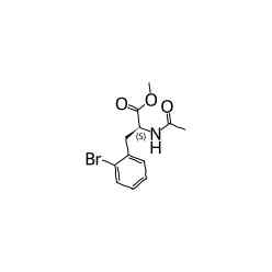 COC(=O)[C@H](Cc1ccccc1Br)NC(C)=O